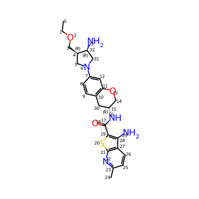 CCOC[C@@H]1CN(c2ccc3c(c2)OC[C@H](NC(=O)c2sc4nc(C)ccc4c2N)C3)C[C@@H]1N